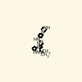 CN(C)C(=N)c1cc2cnc(Nc3ccc(N4CCNCC4)cc3)nc2n1C1CCCC1